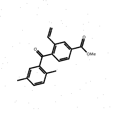 C=Cc1cc(C(=O)OC)ccc1C(=O)c1cc(C)ccc1C